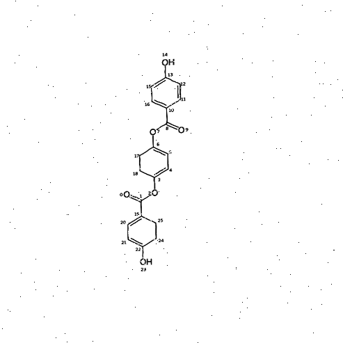 O=C(OC1=CC=C(OC(=O)c2ccc(O)cc2)CC1)C1=CC=C(O)CC1